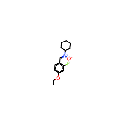 CCOc1ccc(C=[N+]([O-])C2CCCCC2)c(F)c1